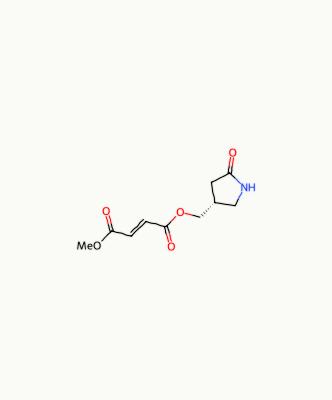 COC(=O)/C=C/C(=O)OC[C@H]1CNC(=O)C1